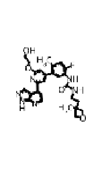 Cc1cc(F)c(NC(=O)NCCC2(C)COC2)cc1-c1cc(OCCO)nc(-c2ccnc3[nH]ncc23)c1